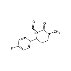 CN1CCC(c2ccc(F)cc2)[C@@H](C=O)C1=O